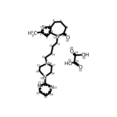 Cc1cc2c(s1)CCCC(=O)N2CCCCN1CCN(c2ncccn2)CC1.O=C(O)C(=O)O